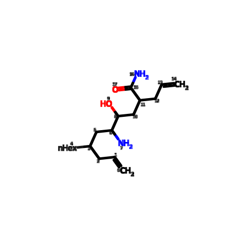 C=CCC(CCCCCC)CC(N)C(O)CC(CC=C)C(N)=O